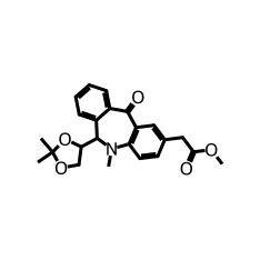 COC(=O)Cc1ccc2c(c1)C(=O)c1ccccc1C(C1COC(C)(C)O1)N2C